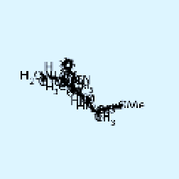 C=CC(=O)NCCOC(=O)C(C)(C)CC(C)(CC(C#N)CC(C)c1ccccc1)C(=O)OCCNC(=O)NCCC(C)OCCOCCOC